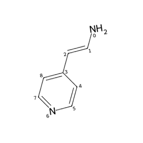 NC=Cc1ccncc1